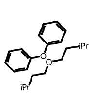 CC(C)CCOCCC(C)C.c1ccc(Oc2ccccc2)cc1